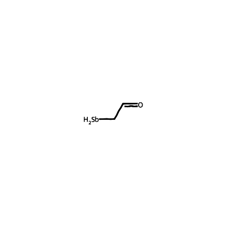 O=C[CH2][SbH2]